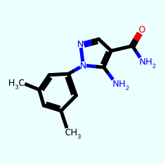 Cc1cc(C)cc(-n2ncc(C(N)=O)c2N)c1